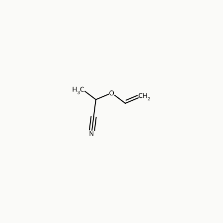 C=COC(C)C#N